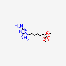 CO[Si](CCCCCCn1nc(N)nc1N)(OC)OC